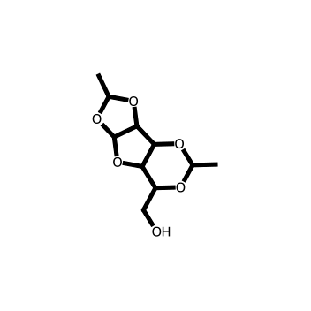 CC1OC2OC3C(CO)OC(C)OC3C2O1